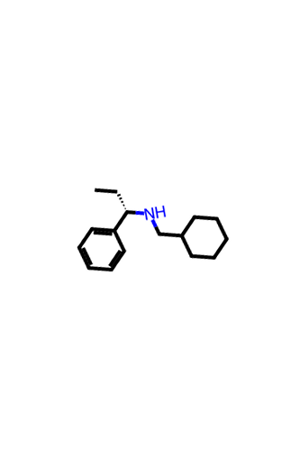 CC[C@H](NCC1CCCCC1)c1ccccc1